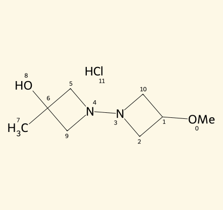 COC1CN(N2CC(C)(O)C2)C1.Cl